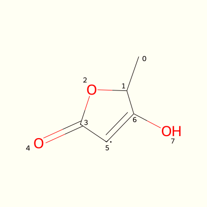 CC1OC(=O)[C]=C1O